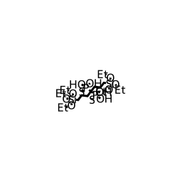 CCO[Si](CCCC(CCC[Si](OCC)(OCC)OCC)(P(O)(O)=S)P(O)(O)=S)(OCC)OCC